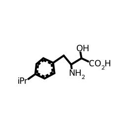 CC(C)c1ccc(CC(N)C(O)C(=O)O)cc1